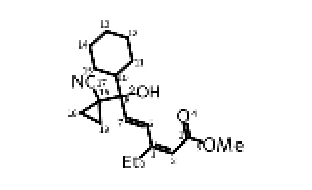 CCC(=C/C(=O)OC)/C=C/C(O)(C1CCCCC1)C1(C#N)CC1